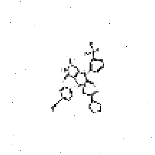 CN1CC2=C(C(=O)N1)[C@@H](c1ccc(C#N)cc1)N(CC(=O)N1CCCC1)C(=O)N2c1cccc(C(F)(F)F)c1